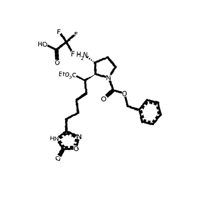 CCOC(=O)C(CCCCc1noc(=O)[nH]1)[C@H]1[C@H](N)CCN1C(=O)OCc1ccccc1.O=C(O)C(F)(F)F